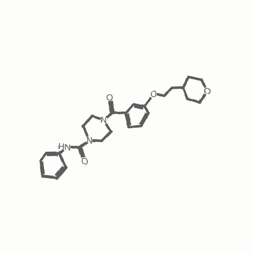 O=C(Nc1ccccc1)N1CCN(C(=O)c2cccc(OCCC3CCOCC3)c2)CC1